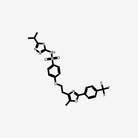 Cc1oc(-c2ccc(C(F)(F)F)cc2)nc1CCOc1ccc(S(=O)(=O)Nc2nnc(C(C)C)s2)cc1